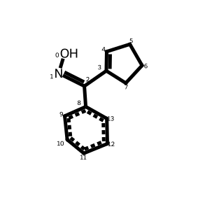 ON=C(C1=CCCC1)c1ccccc1